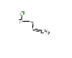 C=C[CH2][Ti][Cl]